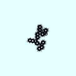 c1ccc2cc3c(cc2c1)c1ccc(-n2c4ccccc4c4ccc5ccccc5c42)cc1n3-c1ccc2cc(-c3nc4ccccc4nc3-c3cccc4oc5ccccc5c34)ccc2c1